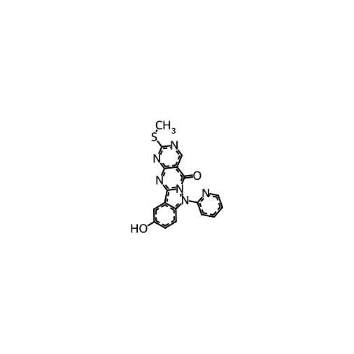 CSc1ncc2c(=O)n3c(nc2n1)c1cc(O)ccc1n3-c1ccccn1